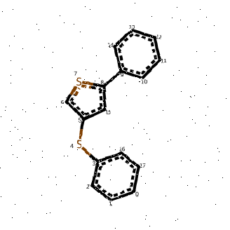 c1ccc(Sc2csc(-c3ccccc3)c2)cc1